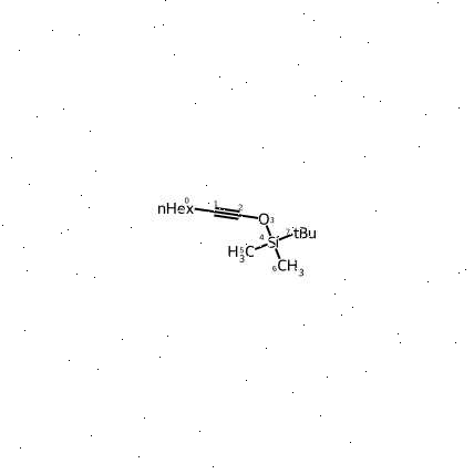 CCCCCCC#CO[Si](C)(C)C(C)(C)C